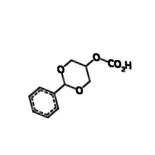 O=C(O)OC1COC(c2ccccc2)OC1